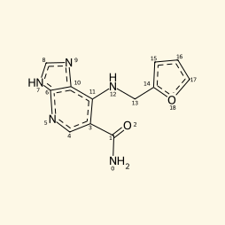 NC(=O)c1cnc2[nH]cnc2c1NCc1ccco1